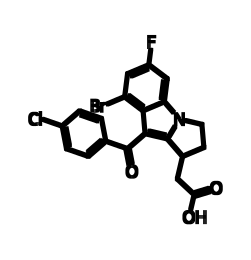 O=C(O)CC1CCn2c1c(C(=O)c1ccc(Cl)cc1)c1c(Br)cc(F)cc12